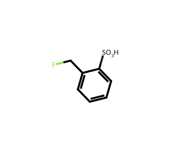 O=S(=O)(O)c1ccccc1CF